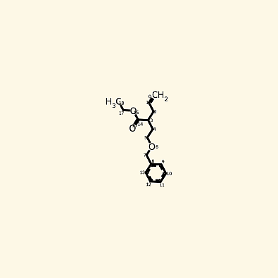 C=CCC(CCOCc1ccccc1)C(=O)OCC